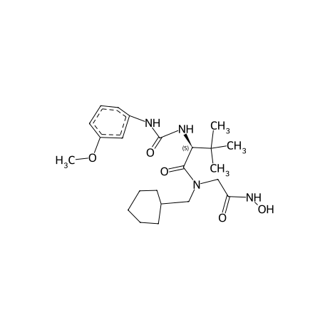 COc1cccc(NC(=O)N[C@H](C(=O)N(CC(=O)NO)CC2CCCCC2)C(C)(C)C)c1